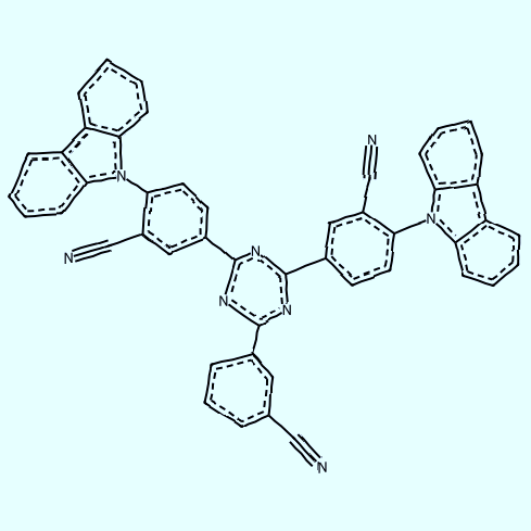 N#Cc1cccc(-c2nc(-c3ccc(-n4c5ccccc5c5ccccc54)c(C#N)c3)nc(-c3ccc(-n4c5ccccc5c5ccccc54)c(C#N)c3)n2)c1